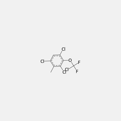 Cc1c(Cl)cc(Cl)c(OC(F)(F)Cl)c1Cl